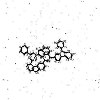 c1ccc(-c2cc(-c3ccccc3)nc(-c3cncc4c3-c3cc(-c5nc(-c6ccc7c(c6)C(c6ccccc6)c6ccccc6-7)c6ccccc6n5)ccc3C4)n2)cc1